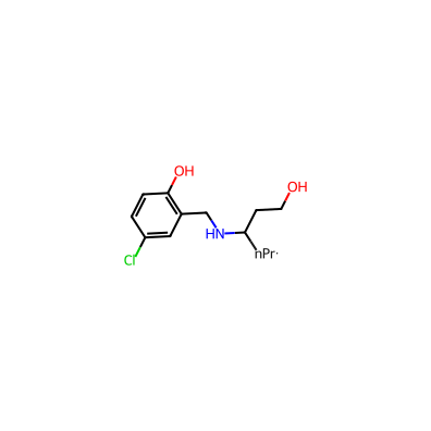 CC[CH]C(CCO)NCc1cc(Cl)ccc1O